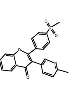 Cc1ccc(-c2c(-c3ccc(S(C)(=O)=O)cc3)oc3ccccc3c2=O)cn1